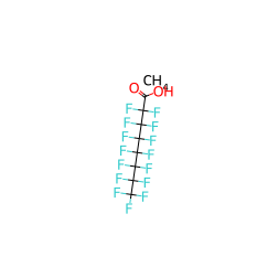 C.O=C(O)C(F)(F)C(F)(F)C(F)(F)C(F)(F)C(F)(F)C(F)(F)C(F)(F)F